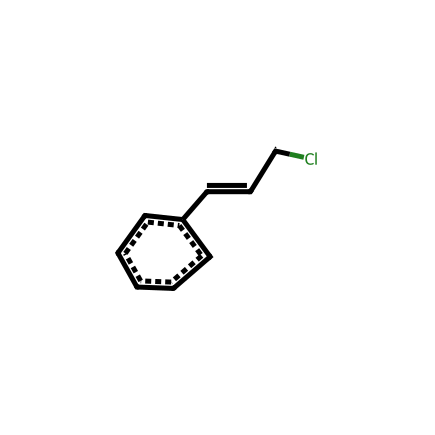 Cl[CH]C=Cc1ccccc1